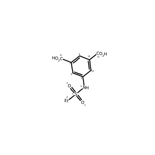 CCS(=O)(=O)Nc1cc(C(=O)O)cc(C(=O)O)c1